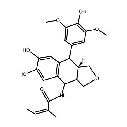 C/C=C(/C)C(=O)NC1c2cc(O)c(O)cc2C(c2cc(OC)c(O)c(OC)c2)[C@@H]2COCC12